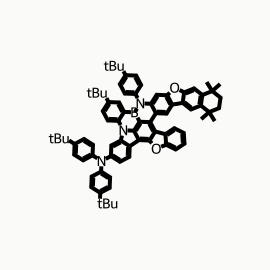 CC(C)(C)c1ccc(N2B3c4cc(C(C)(C)C)ccc4-n4c5cc(N(c6ccc(C(C)(C)C)cc6)c6ccc(C(C)(C)C)cc6)ccc5c5c6oc7ccccc7c6c(c3c54)-c3cc4c(cc32)oc2cc3c(cc24)C(C)(C)CCC3(C)C)cc1